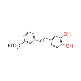 CCOC(=O)c1cccc(/C=C/c2ccc(O)c(O)c2)c1